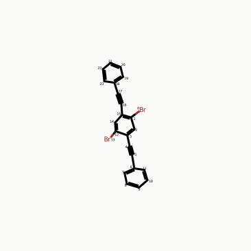 Brc1cc(C#Cc2ccccc2)c(Br)cc1C#Cc1ccccc1